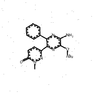 CCCCOc1nc(-c2ccc(=O)n(C)n2)c(-c2ccccc2)nc1N